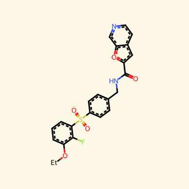 CCOc1cccc(S(=O)(=O)c2ccc(CNC(=O)c3cc4ccncc4o3)cc2)c1F